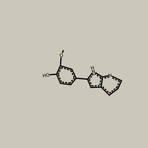 COc1cc(-c2cc3cccnc3[nH]2)ccc1O